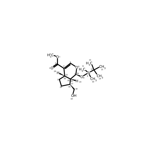 COC(=O)C1=CO[C@@H](O[Si](C)(C)C(C)(C)C)[C@@H]2[C@@H](CO)CC[C@H]12